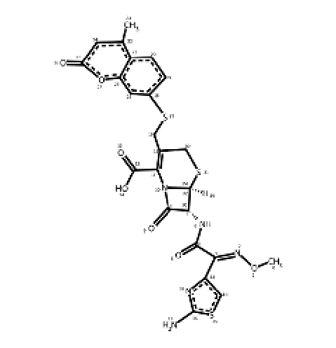 CON=C(C(=O)N[C@@H]1C(=O)N2C(C(=O)O)=C(CSc3ccc4c(C)cc(=O)oc4c3)CS[C@@H]12)c1csc(N)n1